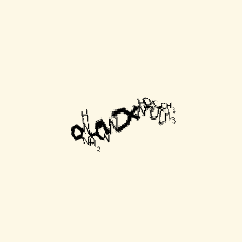 CC(C)(C)OC(=O)N1CC2(CCN(c3ccc(C(=O)Nc4ccccc4N)cn3)CC2)C1